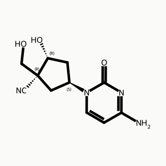 N#C[C@@]1(CO)C[C@H](n2ccc(N)nc2=O)C[C@H]1O